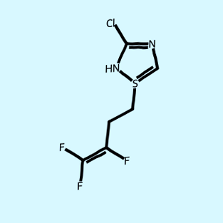 FC(F)=C(F)CCS1=CN=C(Cl)N1